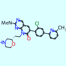 CNc1ncc2cc(-c3ccc(-c4cccc(C)n4)cc3Cl)c(=O)n(CC[C@H]3CNCCO3)c2n1